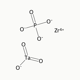 O=P([O-])([O-])[O-].[O]=[Ta](=[O])[O-].[Zr+4]